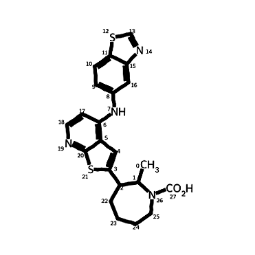 CC1C(c2cc3c(Nc4ccc5scnc5c4)ccnc3s2)CCCCN1C(=O)O